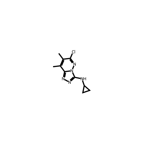 Cc1c(Cl)nn2c(NC3CC3)nnc2c1C